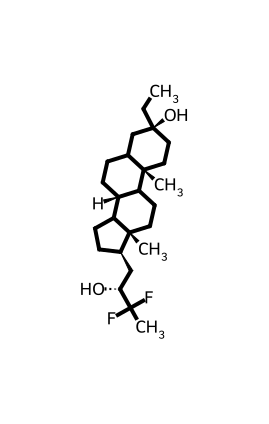 CC[C@]1(O)CC[C@@]2(C)C(CC[C@@H]3C2CC[C@@]2(C)C3CC[C@@H]2C[C@@H](O)C(C)(F)F)C1